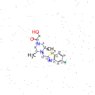 CC1CN(C(=O)CO)CC(C)N1Cc1nc2cc(F)ccc2s1